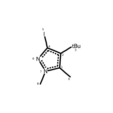 Cc1c(C(C)(C)C)c(I)nn1C